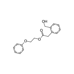 O=C(Cc1ccccc1CO)OCCOc1ccccc1